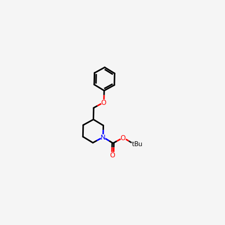 CC(C)(C)OC(=O)N1CCCC(COc2ccccc2)C1